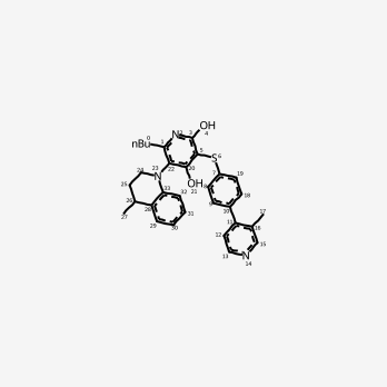 CCCCc1nc(O)c(Sc2ccc(-c3ccncc3C)cc2)c(O)c1N1CCC(C)c2ccccc21